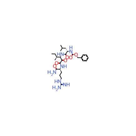 CC[C@H](C)C(NC(=O)[C@H](CC(C)C)NC(=O)OCc1ccccc1)C(=O)C(=O)N[C@@H](CCCNC(=N)N)C(N)=O